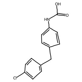 O=C(O)Nc1ccc(Cc2ccc(Cl)cc2)cc1